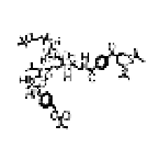 CC(C)SCC(CSC(C)C)C(=O)c1ccc(C(=O)NCC(=O)NC(CCC(=O)NC(C(=O)NC(C)C(=O)Nc2ccc(COC(=O)C(C)C)cc2)C(C)C)C(=O)NCC(=O)NC(C)(C)CCOC(C)(C)C)cc1